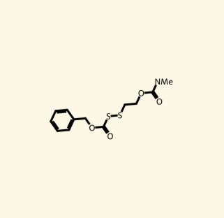 CNC(=O)OCCSSC(=O)OCc1ccccc1